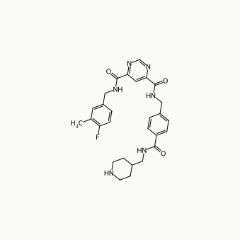 Cc1cc(CNC(=O)c2cc(C(=O)NCc3ccc(C(=O)NCC4CCNCC4)cc3)ncn2)ccc1F